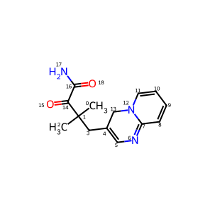 CC(C)(CC1=CN=C2C=CC=CN2C1)C(=O)C(N)=O